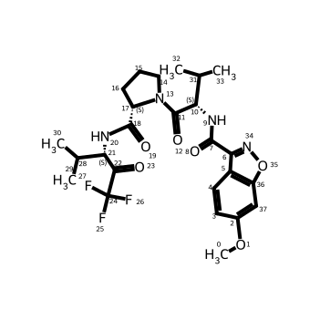 COc1ccc2c(C(=O)N[C@H](C(=O)N3CCC[C@H]3C(=O)N[C@H](C(=O)C(F)(F)F)C(C)C)C(C)C)noc2c1